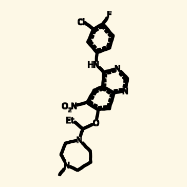 CCC(Oc1cc2ncnc(Nc3ccc(F)c(Cl)c3)c2cc1[N+](=O)[O-])N1CCCN(C)CC1